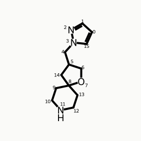 c1cnn(CC2COC3(CCNCC3)C2)c1